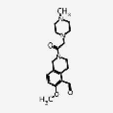 COc1ccc2c(c1C=O)CCN(C(=O)CN1CCN(C)CC1)C2